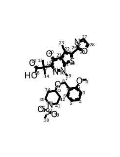 COc1ccccc1[C@@H](Cn1nc(C(C)(C)C(=O)O)c(=O)c2c(C)c(-c3ncco3)sc21)OC1CCN(S(C)(=O)=O)CC1